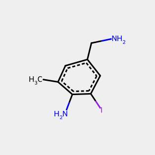 Cc1cc(CN)cc(I)c1N